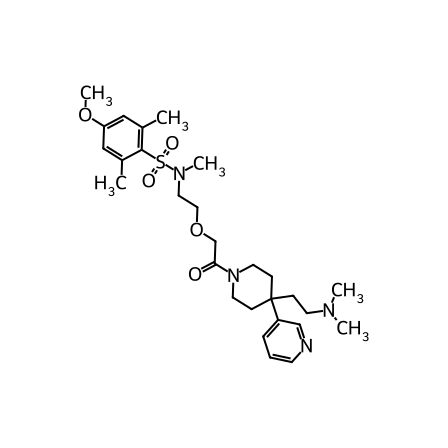 COc1cc(C)c(S(=O)(=O)N(C)CCOCC(=O)N2CCC(CCN(C)C)(c3cccnc3)CC2)c(C)c1